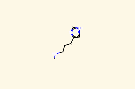 O=C(O)NCCCc1c[nH]cn1